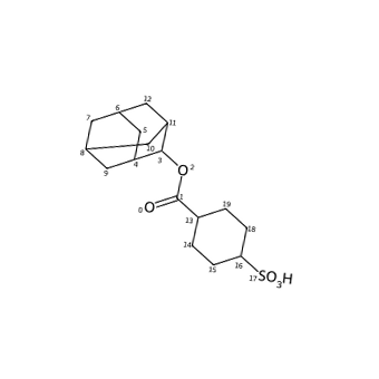 O=C(OC1C2CC3CC(C2)CC1C3)C1CCC(S(=O)(=O)O)CC1